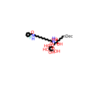 CCCCCCCCCCCCCCC(O)C(O)C(CO[C@H]1O[C@H](CO)[C@H](O)[C@H](O)[C@H]1O)NC(=O)CCCCCCCCCCCNC(=O)c1ccccc1F